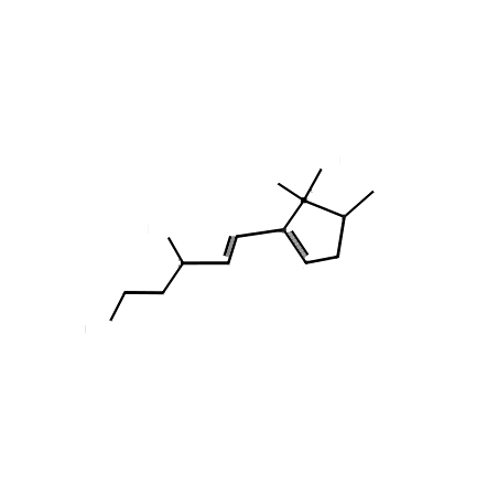 CCCC(O)C=CC1=CCC(C)C1(C)C